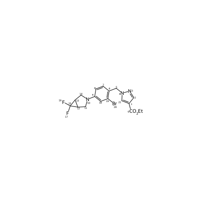 CCOC(=O)c1cnn(Cc2ccc(N3CC4C(C3)C4(F)F)cc2Br)c1